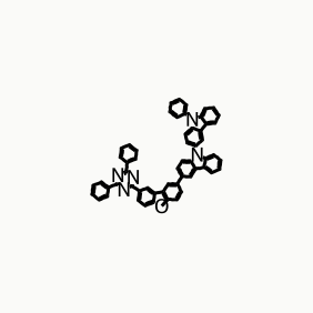 c1ccc(-c2nc(-c3ccccc3)nc(-c3ccc4oc5ccc(-c6ccc7c(c6)c6ccccc6n7-c6ccc7c(c6)c6ccccc6n7-c6ccccc6)cc5c4c3)n2)cc1